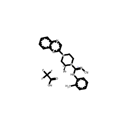 Cc1ccccc1N/C(=N\C#N)N1CCN(c2cnc3ccccc3n2)C[C@@H]1C(C)C.O=C(O)C(F)(F)F